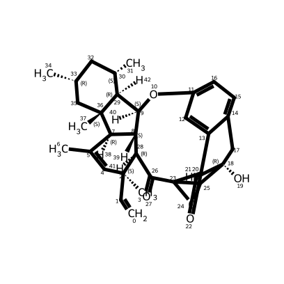 C=C[C@@]1(C)C=C(C)[C@@H]2[C@@H]3[C@H](Oc4ccc(cc4)C[C@]4(O)NC(=O)C5(OC54)C(=O)[C@H]31)[C@@H]1[C@@H](C)C[C@@H](C)C[C@]12C